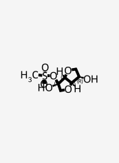 CS(=O)(=O)O[C@@]1(O)CO[C@@H]2[C@H](O)CO[C@@H]21